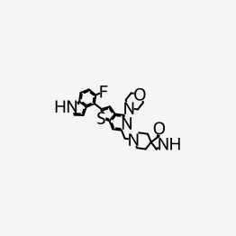 O=C1NCC12CCN(Cc1cc3sc(-c4c(F)ccc5[nH]ccc45)cc3c(N3CCOCC3)n1)CC2